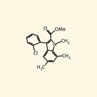 COC(=O)c1c(-c2ccccc2Cl)c2cc(C)cc(C)c2n1C